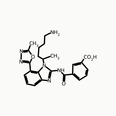 Cc1nnc(-c2cccc3nc(NC(=O)c4cccc(C(=O)O)c4)n(C(C)CCCCN)c23)o1